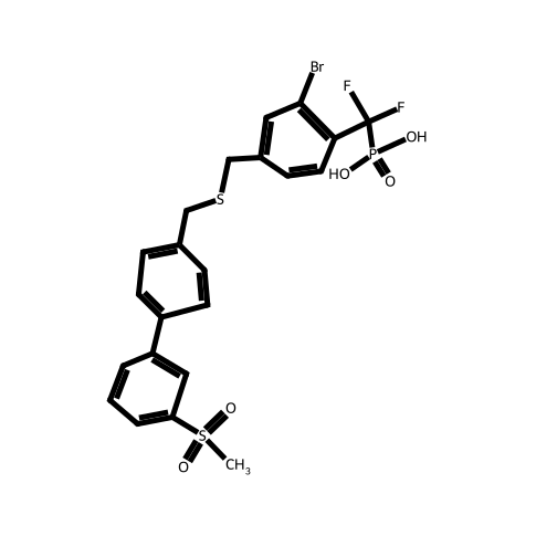 CS(=O)(=O)c1cccc(-c2ccc(CSCc3ccc(C(F)(F)P(=O)(O)O)c(Br)c3)cc2)c1